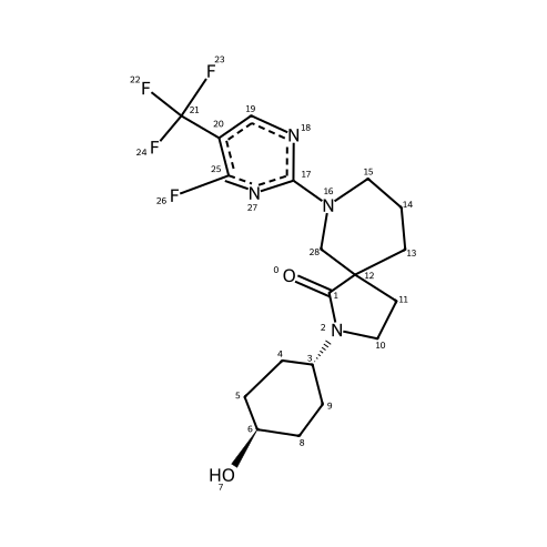 O=C1N([C@H]2CC[C@H](O)CC2)CCC12CCCN(c1ncc(C(F)(F)F)c(F)n1)C2